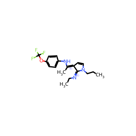 CCCN1C=CC(=C(/C)Nc2ccc(OC(F)(F)F)cc2)/C1=N\CC